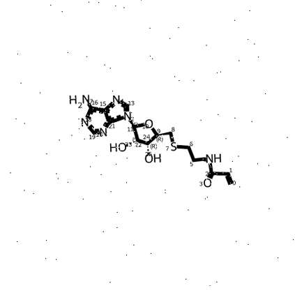 C=CC(=O)NCCSC[C@@H]1O[C@H](n2cnc3c(N)ncnc32)[C@@H](O)[C@H]1O